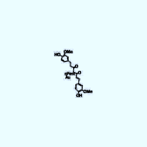 CCCC[CH2][Au].COc1cc(/C=C/C(=O)CC(=O)/C=C/c2ccc(O)c(OC)c2)ccc1O